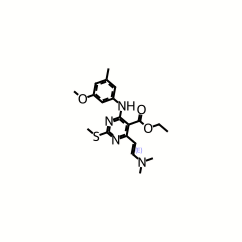 CCOC(=O)c1c(/C=C/N(C)C)nc(SC)nc1Nc1cc(C)cc(OC)c1